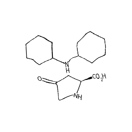 C1CCC(NC2CCCCC2)CC1.O=C1CN[C@H](C(=O)O)C1